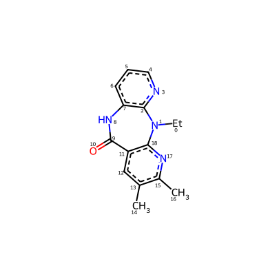 CCN1c2ncccc2NC(=O)c2cc(C)c(C)nc21